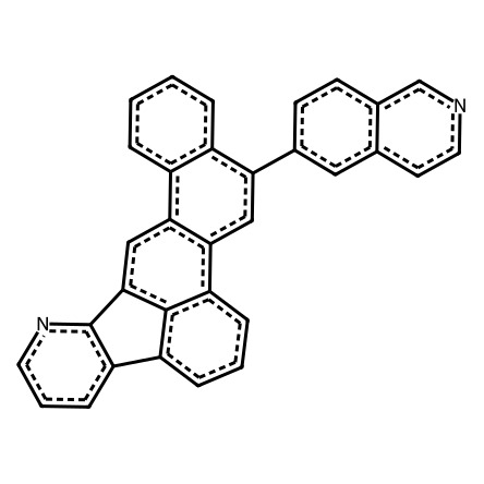 c1cnc2c(c1)-c1cccc3c1c-2cc1c2ccccc2c(-c2ccc4cnccc4c2)cc31